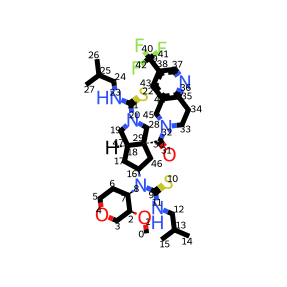 CO[C@@H]1COCC[C@@H]1N(C(=S)NCC(C)C)[C@@H]1C[C@H]2CN(C(=S)NCC(C)C)C[C@@]2(C(=O)N2CCc3ncc(C(F)(F)F)cc3C2)C1